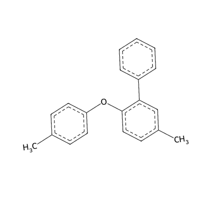 Cc1ccc(Oc2ccc(C)cc2-c2ccccc2)cc1